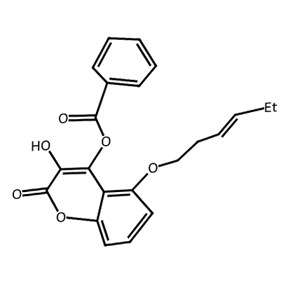 CCC=CCCOc1cccc2oc(=O)c(O)c(OC(=O)c3ccccc3)c12